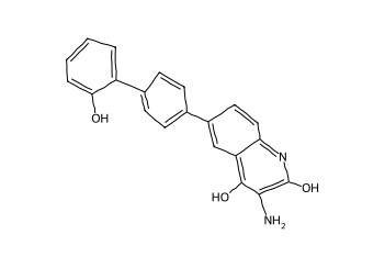 Nc1c(O)nc2ccc(-c3ccc(-c4ccccc4O)cc3)cc2c1O